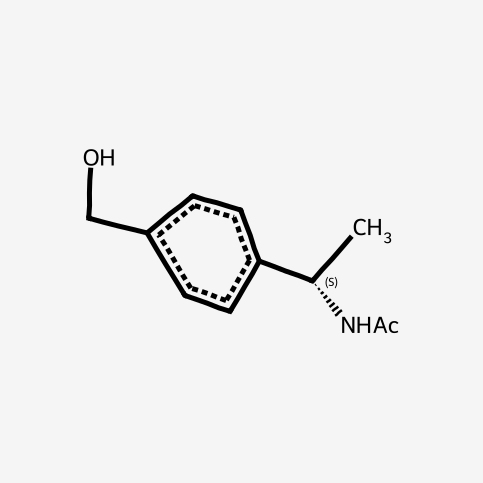 CC(=O)N[C@@H](C)c1ccc(CO)cc1